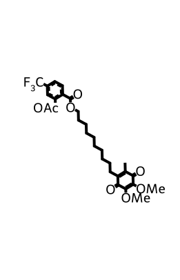 COC1=C(OC)C(=O)C(CCCCCCCCCCOC(=O)c2ccc(C(F)(F)F)cc2OC(C)=O)=C(C)C1=O